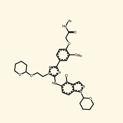 COc1cc(-c2nc(Nc3ccc4c(cnn4C4CCCCO4)c3Cl)n(CCOC3CCCCO3)n2)ccc1OCC(=O)NC(C)C